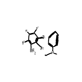 Bc1c(F)c(F)c(F)c(F)c1F.CN(C)c1ccccc1